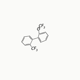 FC(F)(F)Oc1ccccc1-c1ccccc1C(F)(F)F